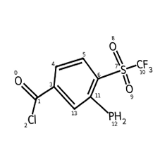 O=C(Cl)c1ccc(S(=O)(=O)C(F)(F)F)c(P)c1